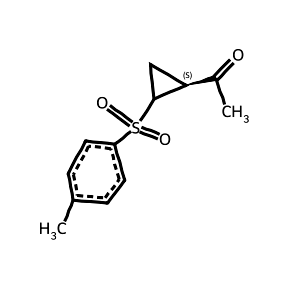 CC(=O)[C@@H]1CC1S(=O)(=O)c1ccc(C)cc1